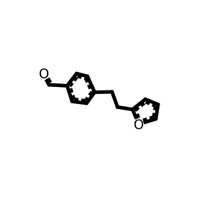 O=Cc1ccc(CCc2ccco2)cc1